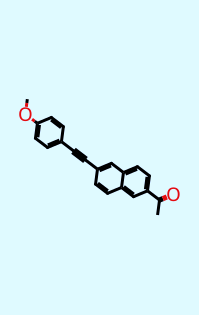 COc1ccc(C#Cc2ccc3cc(C(C)=O)ccc3c2)cc1